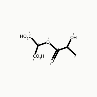 CC(O)C(=O)OC(C(=O)O)C(=O)O